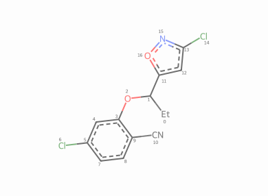 CCC(Oc1cc(Cl)ccc1C#N)c1cc(Cl)no1